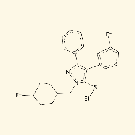 CCSc1c(-c2cccc(CC)c2)c(-c2ccccc2)nn1CC1CCC(CC)CC1